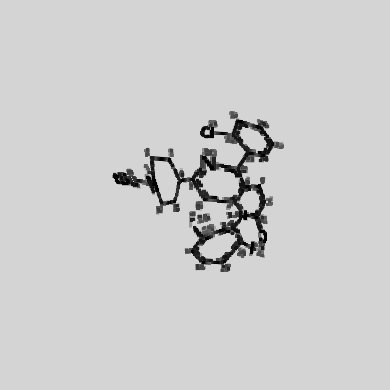 CC(C)(C)N1CCC(c2cc3c(ccc(=O)n3-c3c(F)cccc3F)c(-c3ccccc3Cl)n2)CC1